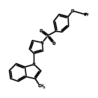 Cc1cn(-c2ccn(S(=O)(=O)c3ccc(OC(C)C)cc3)c2)c2ccccc12